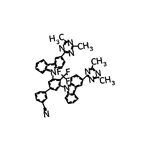 Cc1nc(C)nc(-c2ccc3c(c2)c2ccccc2n3-c2cc(-c3cccc(C#N)c3)cc(-n3c4ccccc4c4cc(-c5nc(C)nc(C)n5)ccc43)c2C(F)(F)F)n1